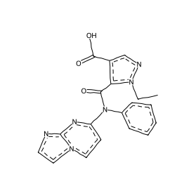 CCn1ncc(C(=O)O)c1C(=O)N(c1ccccc1)c1ccn2ccnc2n1